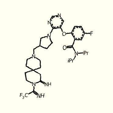 CC(C)N(C(=O)c1cc(F)ccc1Oc1cncnc1N1CCC(CN2CCC3(CC2)CCN(C(=N)C(F)(F)F)C(=N)C3)C1)C(C)C